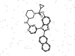 O=C(C1CC1)N1CCCC(Nc2nccc(-n3c(-c4ccc5ccccc5c4)nc4ccc(O)cc43)n2)C1